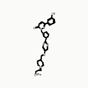 COCCN1CCC(COc2cnc(-c3cccc(Cn4nc(-c5cccc(C#N)c5)ccc4=O)c3)nc2)CC1